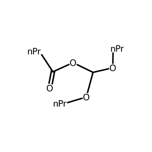 CCCOC(OCCC)OC(=O)CCC